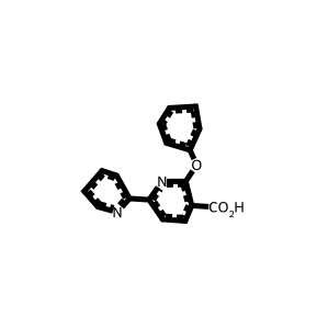 O=C(O)c1ccc(-c2ccccn2)nc1Oc1ccccc1